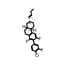 CC/C=C/[C@@H]1CC[C@@H]2c3cc(F)c(-c4ccc(Cl)c(F)c4)c(F)c3CC[C@@H]2C1